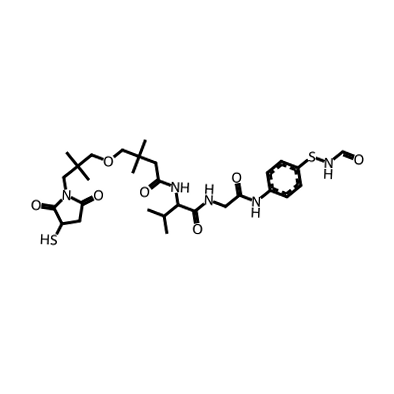 CC(C)C(NC(=O)CC(C)(C)COCC(C)(C)CN1C(=O)CC(S)C1=O)C(=O)NCC(=O)Nc1ccc(SNC=O)cc1